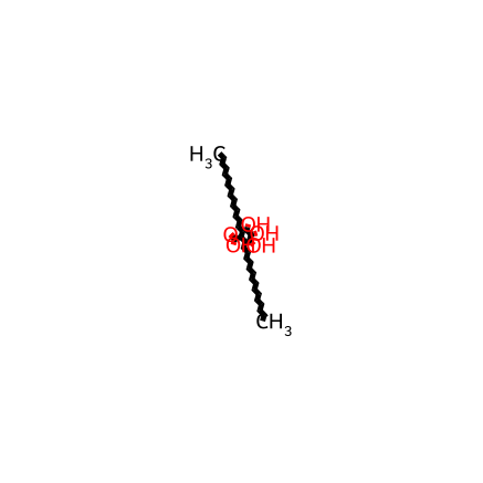 CCCCCCCCCCCCCCCCC(CCCCCCCCCCCCCCCC)C(=O)O.OCC(O)CO